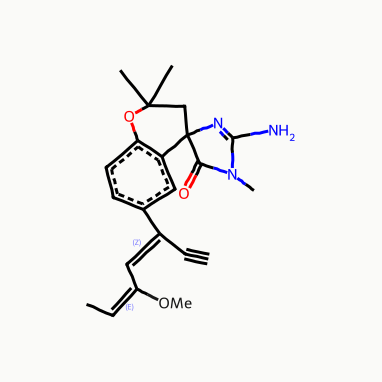 C#C/C(=C\C(=C/C)OC)c1ccc2c(c1)C1(CC(C)(C)O2)N=C(N)N(C)C1=O